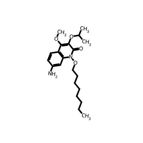 CCCCCCCCOn1c(=O)c(OC(C)C)c(OC)c2ccc(N)cc21